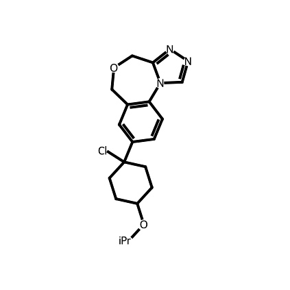 CC(C)OC1CCC(Cl)(c2ccc3c(c2)COCc2nncn2-3)CC1